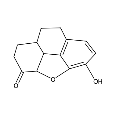 O=C1CCC2CCc3ccc(O)c4c3C2C1O4